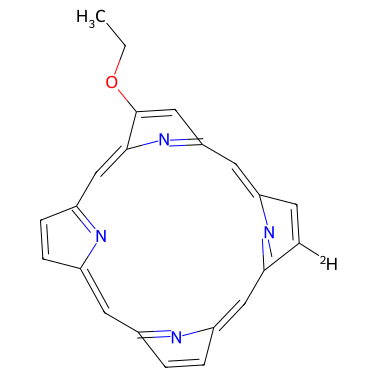 [2H]C1=CC2=CC3=NC(=CC4=NC(=CC5=NC(=CC1=N2)C=C5)C=C4)C(OCC)=C3